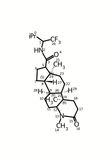 CC(C)C(NC(=O)C1CC[C@H]2[C@@H]3CCC4N(C)C(=O)CC[C@]4(C)[C@@H]3CC[C@]12C)C(F)(F)F